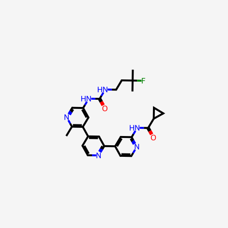 Cc1ncc(NC(=O)NCCC(C)(C)F)cc1-c1ccnc(-c2ccnc(NC(=O)C3CC3)c2)c1